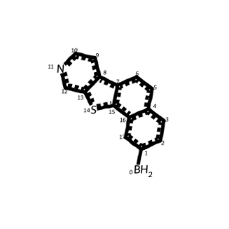 Bc1ccc2ccc3c4ccncc4sc3c2c1